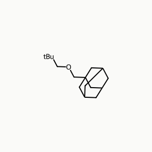 CC(C)(C)COCC12CC3CC(CC(C3)C1)C2